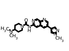 CN(C)C1CCN(C(=O)Nc2cc3cc(-c4cnn(C)c4)cnc3cn2)CC1